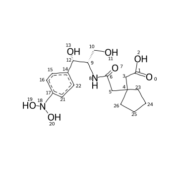 O=C(O)CC1(CC(=O)N[C@@H](CO)[C@@H](O)c2ccc(N(O)O)cc2)CCCC1